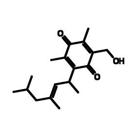 CC1=C(CO)C(=O)C(C(C)/C=C(\C)CC(C)C)=C(C)C1=O